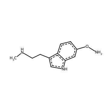 CNCCc1c[nH]c2cc(ON)ccc12